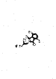 CCCCCCC(CC)CN1C(=O)c2c(Br)ccc(Br)c2C1=O